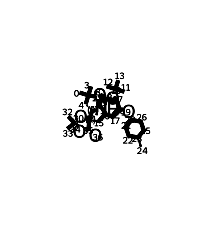 CC(C)(C)C[C@H](NC(=O)OC(C)(C)C)[C@@]1(Cc2cc(O[C@H]3CC[C@H](C)CC3)ccn2)OC(C)(C)OC1=O